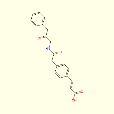 O=C(O)/C=C/c1ccc(CC(=O)NCC(=O)Cc2ccccc2)cc1